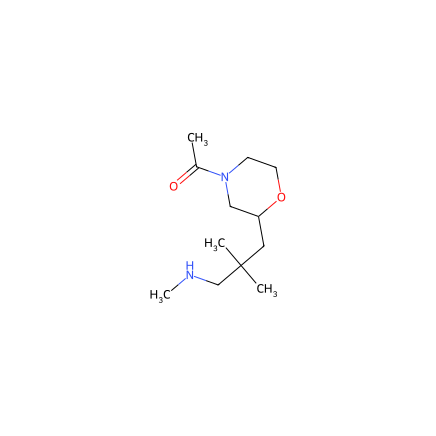 CNCC(C)(C)CC1CN(C(C)=O)CCO1